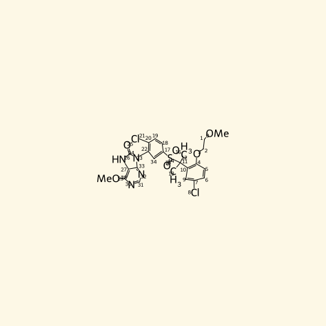 COCCOc1ccc(Cl)cc1C(C)(C)S(=O)(=O)c1ccc(Cl)c(-n2c(=O)[nH]c3c(OC)ncnc32)c1